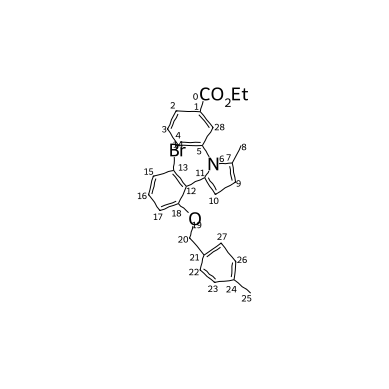 CCOC(=O)c1cccc(-n2c(C)ccc2-c2c(Br)cccc2OCc2ccc(C)cc2)c1